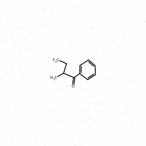 CC(CC(F)(F)F)C(=O)c1ccccc1